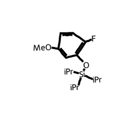 COc1ccc(F)c(O[Si](C(C)C)(C(C)C)C(C)C)c1